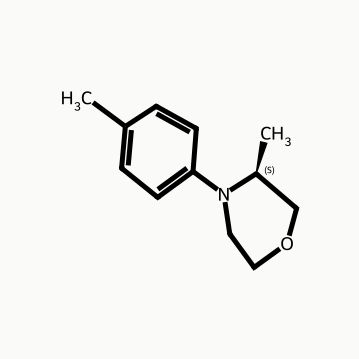 Cc1ccc(N2CCOC[C@@H]2C)cc1